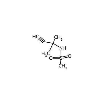 C#CC(C)(C)NS(C)(=O)=O